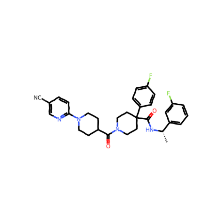 C[C@H](NC(=O)C1(c2ccc(F)cc2)CCN(C(=O)C2CCN(c3ccc(C#N)cn3)CC2)CC1)c1cccc(F)c1